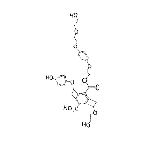 O=C(O)c1c2c(c(C(=O)OCCOc3ccc(OCCOCCO)cc3)c3c1C(OCCO)C3)C(Oc1ccc(O)cc1)C2